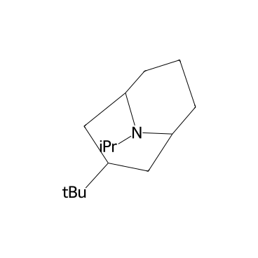 CC(C)N1C2CCCC1CC(C(C)(C)C)C2